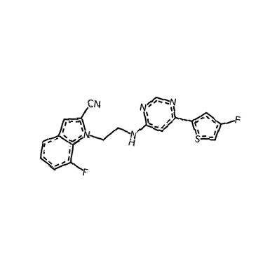 N#Cc1cc2cccc(F)c2n1CCNc1cc(-c2cc(F)cs2)ncn1